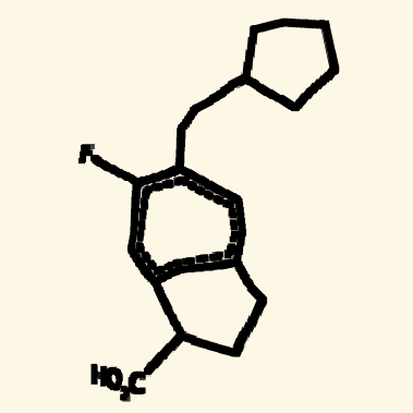 O=C(O)C1CCc2cc(CC3CCCC3)c(F)cc21